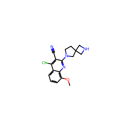 COc1cccc2c(Cl)c(C#N)c(N3CCC4(CNC4)C3)nc12